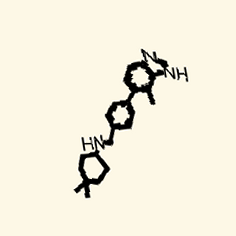 Cc1c(-c2ccc(CNC3CCC(C)(C)CC3)cc2)ccc2nc[nH]c12